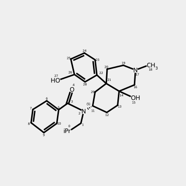 CC(C)CN(C(=O)c1ccccc1)[C@H]1CCC2(O)CN(C)CCC2(c2cccc(O)c2)C1